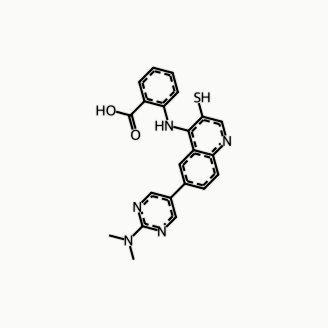 CN(C)c1ncc(-c2ccc3ncc(S)c(Nc4ccccc4C(=O)O)c3c2)cn1